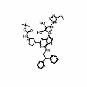 CCc1nnn([C@H]2C[C@@H](n3cnc4c(NCC(c5ccccc5)c5ccccc5)nc(N5CC[C@@H](NC(=O)OC(C)(C)C)C5)nc43)C(O)=C2O)n1